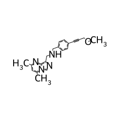 COCC#Cc1ccc(CNCc2ncn3c(C)cc(C)nc23)cc1